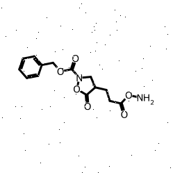 NOC(=O)CCC1CN(C(=O)OCc2ccccc2)OC1=O